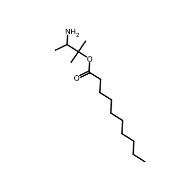 CCCCCCCCCC(=O)OC(C)(C)C(C)N